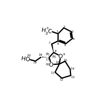 CC1CC=CC=C1C[C@H]1OC2(CCCCC2)O[C@@H]1CCO